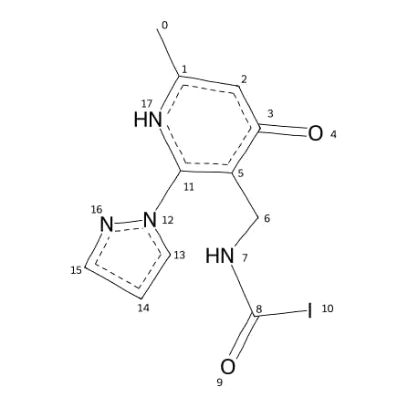 Cc1cc(=O)c(CNC(=O)I)c(-n2cccn2)[nH]1